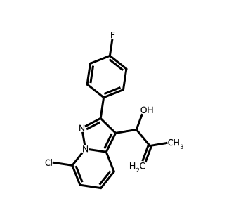 C=C(C)C(O)c1c(-c2ccc(F)cc2)nn2c(Cl)cccc12